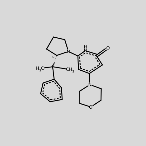 CC(C)(c1ccccc1)[C@@H]1CCCN1c1cc(N2CCOCC2)cc(=O)[nH]1